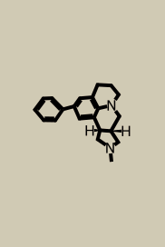 CN1C[C@H]2CN3CCCc4cc(-c5ccccc5)cc(c43)[C@H]2C1